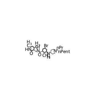 CCCCCC(CCC)N1CCC(Nc2cc(Br)cc(C(=O)NCc3c(C)cc(C)[nH]c3=O)c2C)CC1